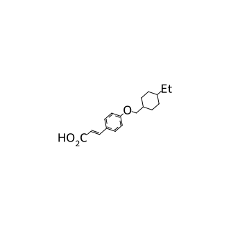 CCC1CCC(COc2ccc(/C=C/C(=O)O)cc2)CC1